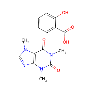 Cn1c(=O)c2c(ncn2C)n(C)c1=O.O=C(O)c1ccccc1O